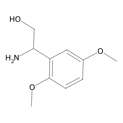 COc1ccc(OC)c(C(N)CO)c1